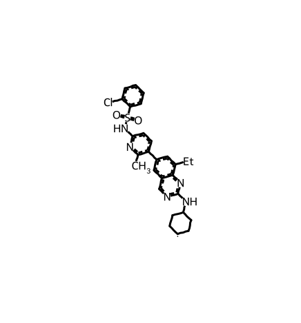 CCc1cc(-c2ccc(NS(=O)(=O)c3ccccc3Cl)nc2C)cc2cnc(NC3CC[CH]CC3)nc12